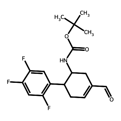 CC(C)(C)OC(=O)NC1CC(C=O)=CCC1c1cc(F)c(F)cc1F